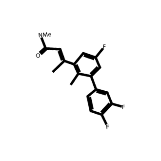 CNC(=O)/C=C(\C)c1cc(F)cc(-c2ccc(F)c(F)c2)c1C